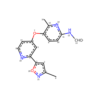 Cc1cc(-c2cc(Oc3ccc(N[C]=O)nc3C)ccn2)on1